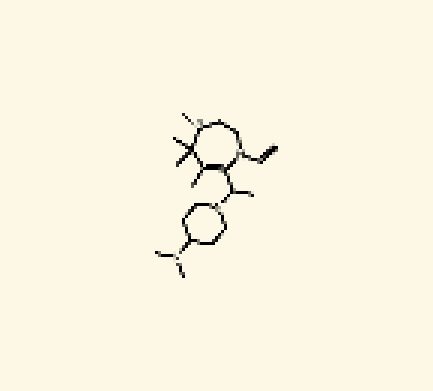 C=CN1CC[C@@H](C)C(C)(C)C(C)=C1C(C)N1CCC(N(C)C)CC1